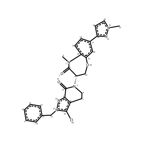 CN1C(=O)[C@@H](N2CCc3c(nn(Cc4ccccc4)c3Cl)C2=O)COc2cc(-c3ccn(C)n3)ccc21